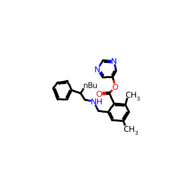 CCCCC(CNCc1cc(C)cc(C)c1C(=O)Oc1cncnc1)c1ccccc1